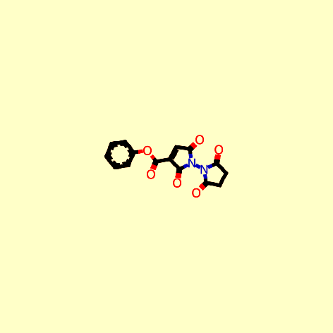 O=C(Oc1ccccc1)C1=CC(=O)N(N2C(=O)CCC2=O)C1=O